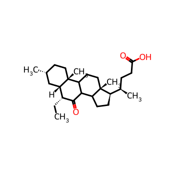 CC[C@H]1C(=O)C2C3CC[C@H]([C@H](C)CCC(=O)O)[C@@]3(C)CCC2[C@@]2(C)CC[C@@H](C)C[C@@H]12